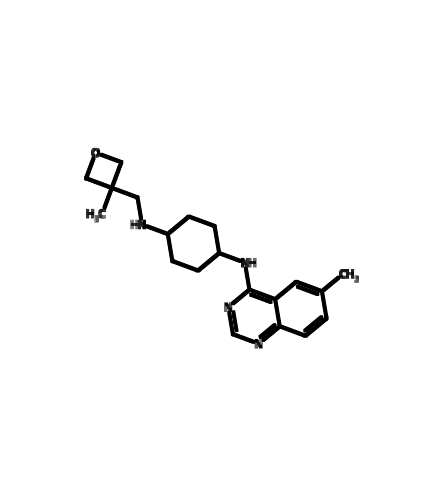 Cc1ccc2ncnc(NC3CCC(NCC4(C)COC4)CC3)c2c1